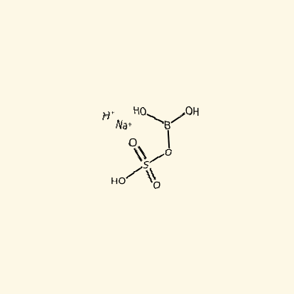 O=S(=O)(O)OB(O)O.[H+].[Na+]